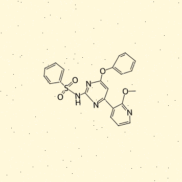 COc1ncccc1-c1cc(Oc2ccccc2)nc(NS(=O)(=O)c2ccccc2)n1